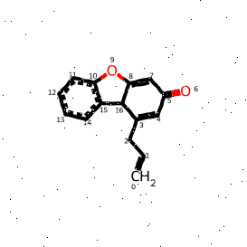 C=CCC1=CC(=O)C=C2Oc3ccccc3C12